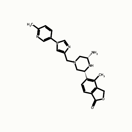 Cc1ccc(-n2cnc(CN3C[C@@H](c4ccc5c(c4C)COC5=O)N[C@@H](N)C3)c2)cn1